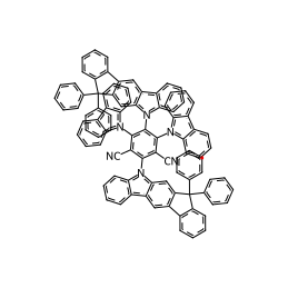 N#Cc1c(-n2c3ccccc3c3cc4c(cc32)C(c2ccccc2)(c2ccccc2)c2ccccc2-4)c(C#N)c(-n2c3ccccc3c3ccccc32)c(-n2c3ccccc3c3cc4c(cc32)C(c2ccccc2)(c2ccccc2)c2ccccc2-4)c1-n1c2ccccc2c2ccccc21